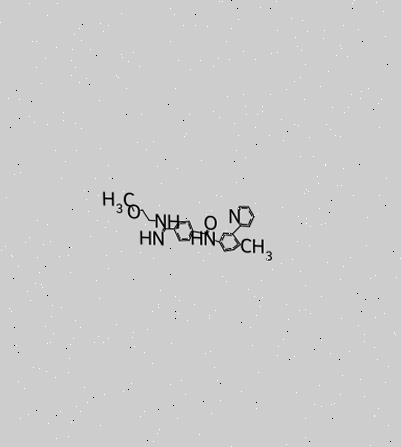 COCCNC(=N)c1ccc(C(=O)Nc2ccc(C)c(-c3ccccn3)c2)cc1